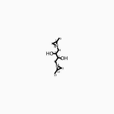 CC1CN1CC(O)C(O)CN1CC1C